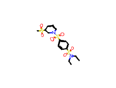 CCN(CC)S(=O)(=O)c1ccc(S(=O)(=O)N2CCCC(S(C)(=O)=O)C2)cc1